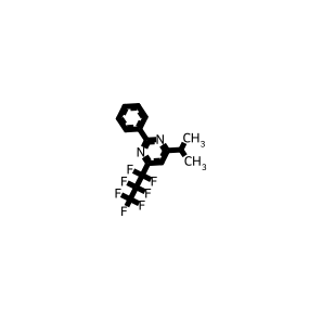 C[C](C)c1cc(C(F)(F)C(F)(F)C(F)(F)F)nc(-c2ccccc2)n1